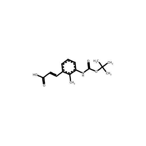 Cc1c(/C=C/C(=O)O)cccc1NC(=O)OC(C)(C)C